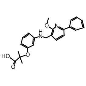 COc1nc(-c2ccccc2)ccc1CNc1cccc(OC(C)(C)C(=O)O)c1